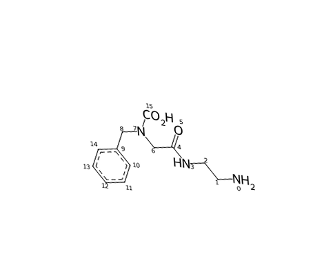 NCCNC(=O)CN(Cc1ccccc1)C(=O)O